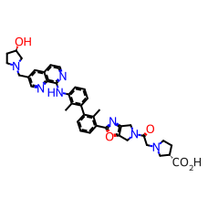 Cc1c(Nc2nccc3cc(CN4CC[C@@H](O)C4)cnc23)cccc1-c1cccc(-c2nc3c(o2)CN(C(=O)CN2CC[C@H](C(=O)O)C2)C3)c1C